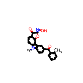 CCn1c2ccc(C(=O)c3ccccc3C)cc2c2c3c(ccc21)C(=O)/C(=N/O)O3